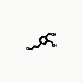 O=C/C=C/c1ccc(CO)c(CO)c1